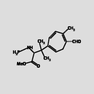 COC(=O)C(NP)C(C)(C)C1=CCC(C=O)=C(C)C=C1